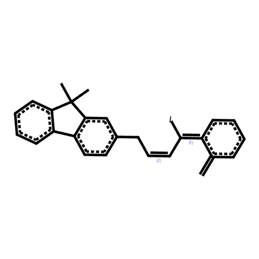 C=c1cccc/c1=C(I)/C=C\Cc1ccc2c(c1)C(C)(C)c1ccccc1-2